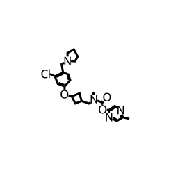 Cc1cnc(OC(=O)N(C)CC2CC(Oc3ccc(CN4CCCC4)c(Cl)c3)C2)cn1